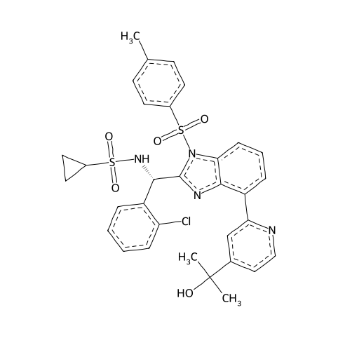 Cc1ccc(S(=O)(=O)n2c([C@@H](NS(=O)(=O)C3CC3)c3ccccc3Cl)nc3c(-c4cc(C(C)(C)O)ccn4)cccc32)cc1